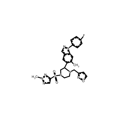 Cc1cc2c(cnn2-c2ccc(F)cc2)cc1C1CN(S(=O)(=O)c2cnn(C)n2)CCN1Cc1ccon1